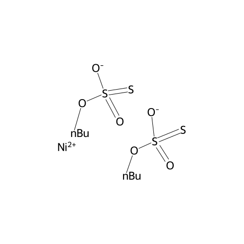 CCCCOS(=O)([O-])=S.CCCCOS(=O)([O-])=S.[Ni+2]